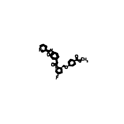 COC(=O)[C@H]1CC[C@H](OC[C@@H]2C[C@H](F)CN2C(=O)Cc2ccc3nc(-c4cccnc4)oc3c2)CC1